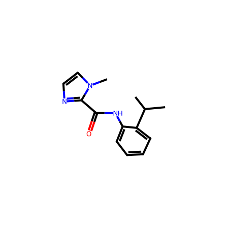 CC(C)c1ccccc1NC(=O)c1nccn1C